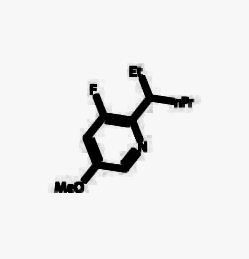 CCCC(CC)c1ncc(OC)cc1F